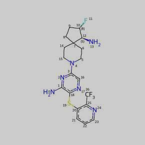 Nc1nc(N2CCC3(CC[C@@H](F)[C@H]3N)CC2)cnc1Sc1cccnc1C(F)(F)F